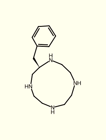 c1ccc(C[C@@H]2CNCCNCCNCCN2)cc1